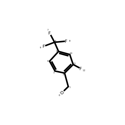 [O]Cc1ccc(C(F)(F)F)cc1F